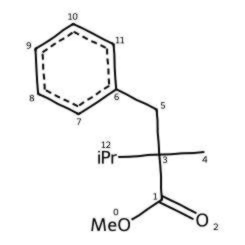 COC(=O)C(C)(Cc1ccccc1)C(C)C